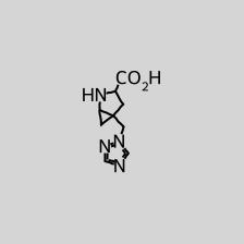 O=C(O)C1CC2(Cn3cncn3)CC2N1